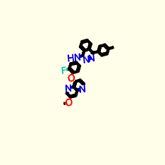 COc1cnc2c(Oc3ccc(Nc4nnc(-c5ccc(C)cc5)c5ccccc45)cc3F)ccnc2c1